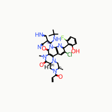 C=CC(=O)N1C[C@@H]2C(=O)N(C)c3c(c4cc(Cl)c(-c5c(O)cccc5F)nc4n(/C(NC(C)(C)C)=C(\C#N)C=N)c3=O)N2C[C@H]1C